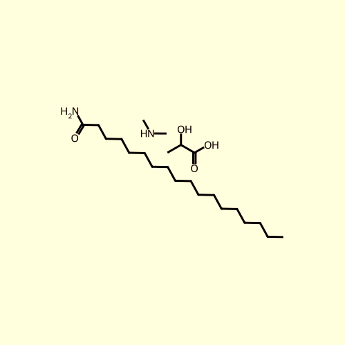 CC(O)C(=O)O.CCCCCCCCCCCCCCCCCC(N)=O.CNC